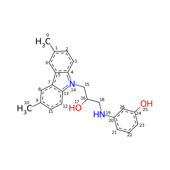 Cc1ccc2c(c1)c1cc(C)ccc1n2CC(O)CNc1cccc(O)c1